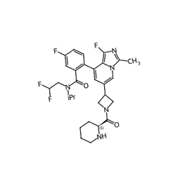 Cc1nc(F)c2c(-c3ccc(F)cc3C(=O)N(CC(F)F)C(C)C)cc(C3CN(C(=O)[C@@H]4CCCCN4)C3)cn12